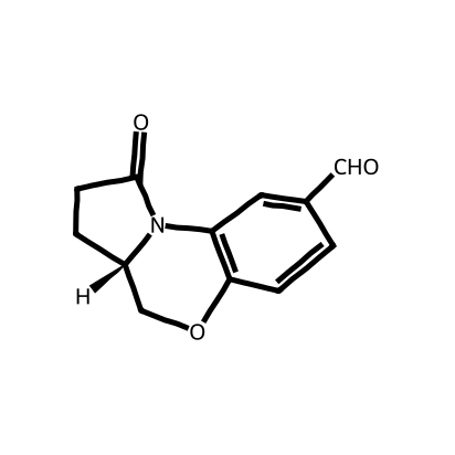 O=Cc1ccc2c(c1)N1C(=O)CC[C@H]1CO2